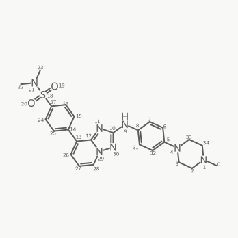 CN1CCN(c2ccc(Nc3nc4c(-c5ccc(S(=O)(=O)N(C)C)cc5)cccn4n3)cc2)CC1